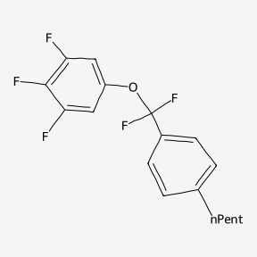 CCCCCc1ccc(C(F)(F)Oc2cc(F)c(F)c(F)c2)cc1